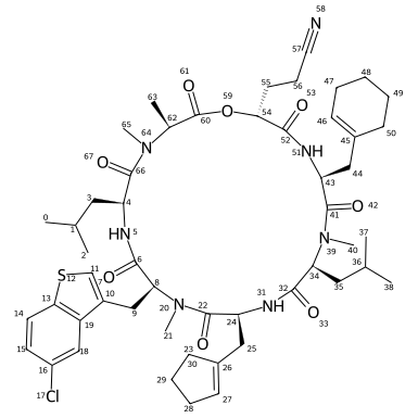 CC(C)C[C@@H]1NC(=O)[C@H](Cc2csc3ccc(Cl)cc23)N(C)C(=O)[C@H](CC2=CCCC2)NC(=O)[C@H](CC(C)C)N(C)C(=O)[C@H](CC2=CCCCC2)NC(=O)[C@@H](CCC#N)OC(=O)[C@H](C)N(C)C1=O